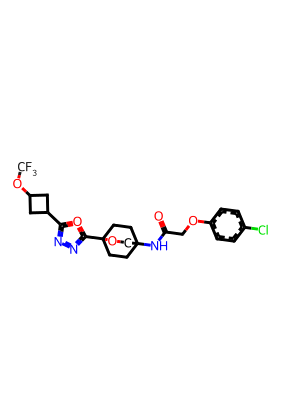 O=C(COc1ccc(Cl)cc1)NC12CCC(c3nnc(C4CC(OC(F)(F)F)C4)o3)(CC1)OC2